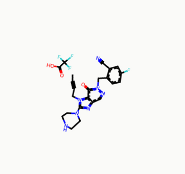 CC#CCn1c(N2CCNCC2)nc2cnn(Cc3ccc(F)cc3C#N)c(=O)c21.O=C(O)C(F)(F)F